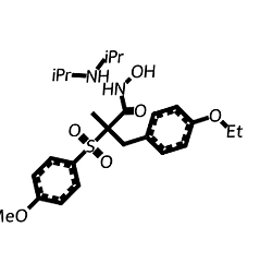 CC(C)NC(C)C.CCOc1ccc(CC(C)(C(=O)NO)S(=O)(=O)c2ccc(OC)cc2)cc1